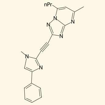 CCCc1cc(C)nc2nc(C#Cc3nc(-c4ccccc4)cn3C)nn12